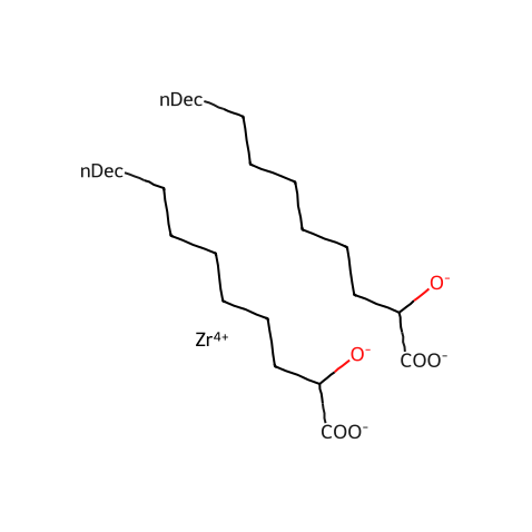 CCCCCCCCCCCCCCCCC([O-])C(=O)[O-].CCCCCCCCCCCCCCCCC([O-])C(=O)[O-].[Zr+4]